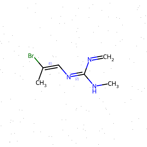 C=N/C(=N\C=C(/C)Br)NC